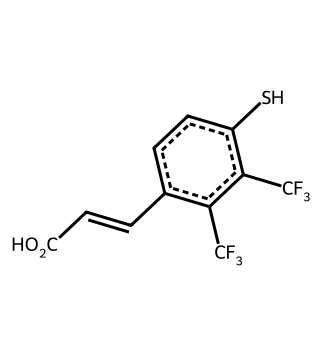 O=C(O)C=Cc1ccc(S)c(C(F)(F)F)c1C(F)(F)F